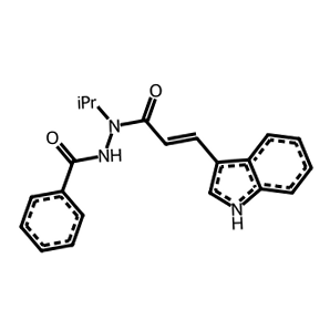 CC(C)N(NC(=O)c1ccccc1)C(=O)C=Cc1c[nH]c2ccccc12